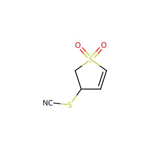 N#CSC1C=CS(=O)(=O)C1